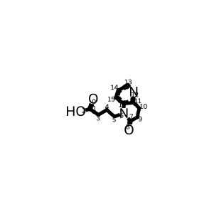 O=C(O)CCCN1C(=O)CCc2ncccc21